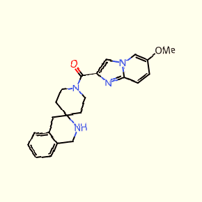 COc1ccc2nc(C(=O)N3CCC4(CC3)Cc3ccccc3CN4)cn2c1